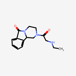 CCNCC(=O)N1CCN2C(=O)c3ccccc3C2C1